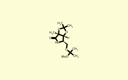 COC(C)(C)OC[C@H]1NC(=O)[C@]2(C)OC(C)(C)O[C@H]12